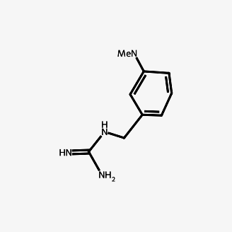 CNc1cccc(CNC(=N)N)c1